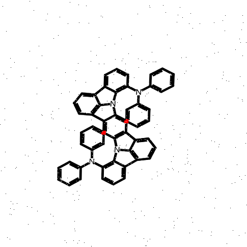 c1ccc(N(c2ccccc2)c2cccc3c4cccc5c6cc7c(cc6n(c23)c54)c2cccc3c4cccc(N(c5ccccc5)c5ccccc5)c4n7c23)cc1